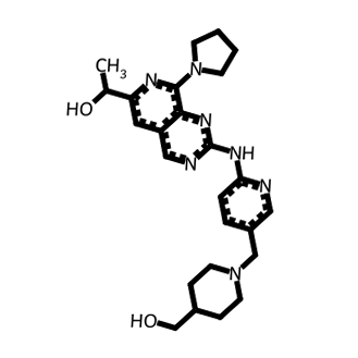 CC(O)c1cc2cnc(Nc3ccc(CN4CCC(CO)CC4)cn3)nc2c(N2CCCC2)n1